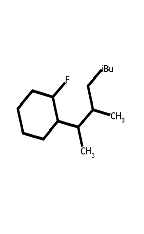 CCC(C)CC(C)C(C)C1CCCCC1F